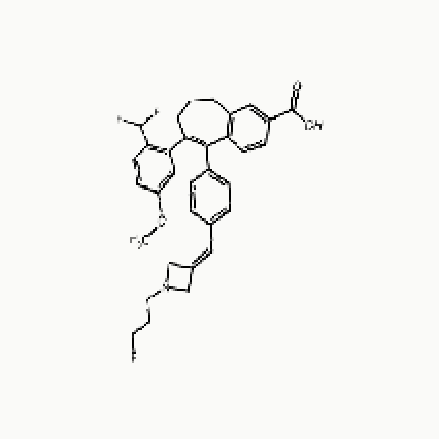 COc1ccc(C(F)F)c(C2=C(c3ccc(C=C4CN(CCCF)C4)cc3)c3ccc(C(=O)O)cc3CCC2)c1